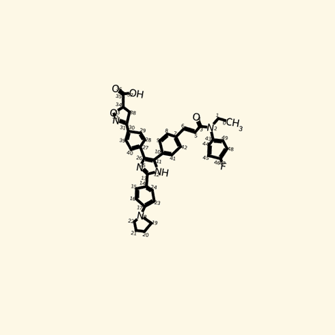 CCN(C(=O)C=Cc1ccc(-c2[nH]c(-c3ccc(N4CCCC4)cc3)nc2-c2ccc(C3=NOC(C(=O)O)C3)cc2)cc1)c1ccc(F)cc1